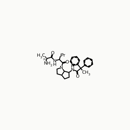 CC(C)C(NC(=O)[C@H](C)N)C(=O)N1CCC2CCC(NC(=O)C(C)(c3ccccc3)c3ccccc3)C21